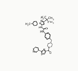 Cc1ccc(-n2nc(C(C)(C)C)cc2NC(=O)Nc2ccc(CC3CCN(C(=O)c4csc(-c5cccnc5)n4)CC3)cc2)cc1